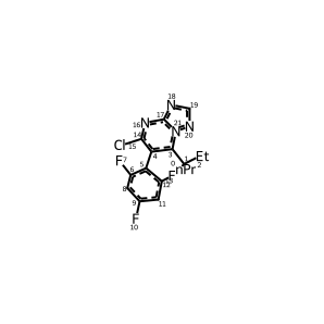 CCCC(CC)c1c(-c2c(F)cc(F)cc2F)c(Cl)nc2ncnn12